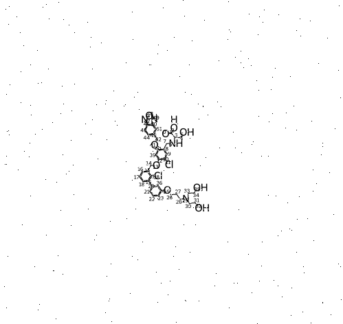 O=C(O)[C@@H](CO)NCc1cc(Cl)c(OCc2cccc(-c3cccc(OCCCN(CCO)CCO)c3)c2Cl)cc1OCc1ccc2nonc2c1